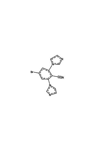 N#Cc1c(-n2ccnc2)cc(Br)cc1-n1ccnc1